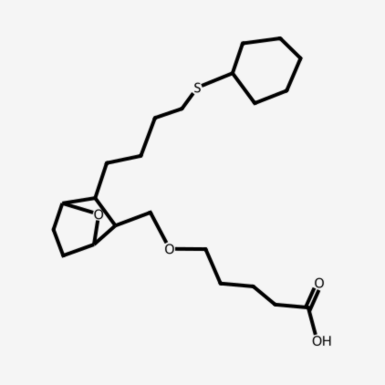 O=C(O)CCCCOCC1C2CCC(O2)C1CCCCSC1CCCCC1